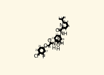 CC(C)c1cccc(C(=O)NC23CCC(NC(=O)COc4ccc(Cl)c(F)c4)(CC2)[C@@H](O)C3)n1